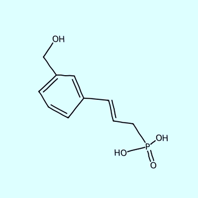 O=P(O)(O)CC=Cc1cccc(CO)c1